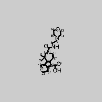 CC1(C)CN(C(=O)NCCN2CCOCC2)C=Cc2c1c1ccccc1n2C(=O)O